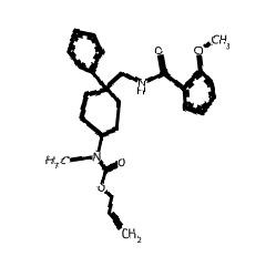 C=CCOC(=O)N(C)C1CCC(CNC(=O)c2ccccc2OC)(c2ccccc2)CC1